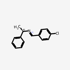 C[C@@H](/N=C/c1ccc(Cl)cc1)c1ccccc1